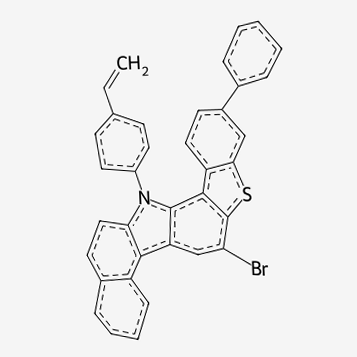 C=Cc1ccc(-n2c3ccc4ccccc4c3c3cc(Br)c4sc5cc(-c6ccccc6)ccc5c4c32)cc1